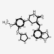 COc1ccc([C@H]2CNC(=O)/C(=C/c3cccc4c3OCO4)C2)cc1OC1CCCC1